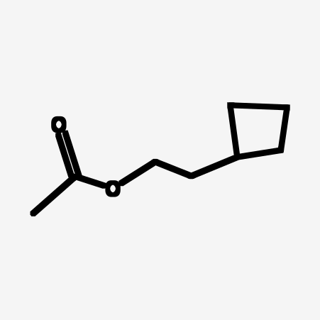 CC(=O)OCCC1CCC1